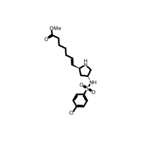 COC(=O)CCCCC=C[C@@H]1C[C@@H](NS(=O)(=O)c2ccc(Cl)cc2)CN1